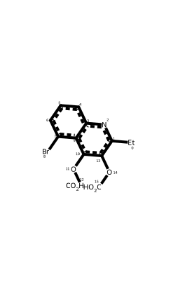 CCc1nc2cccc(Br)c2c(OC(=O)O)c1OC(=O)O